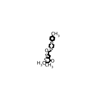 Cc1ccc(N2CCN(CC(=O)c3cc4c(s3)SC(C)(C)CC4=O)CC2)cc1